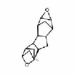 C1C2C3CC4C(C5C[C@]46CC5O6)C3C1C1OC21